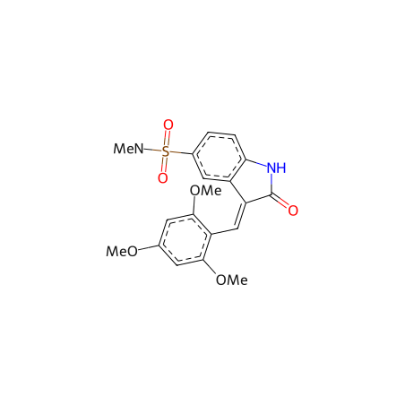 CNS(=O)(=O)c1ccc2c(c1)C(=Cc1c(OC)cc(OC)cc1OC)C(=O)N2